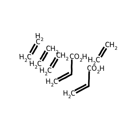 C=C.C=C.C=C.C=C.C=CC(=O)O.C=CC(=O)O